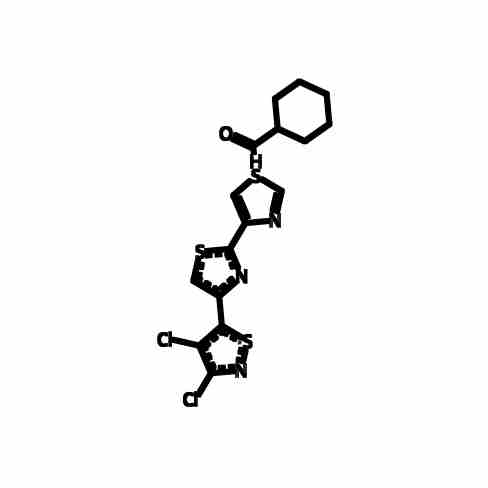 O=C(C1CCCCC1)[SH]1C=NC(c2nc(-c3snc(Cl)c3Cl)cs2)=C1